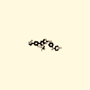 CN(c1ccc(Nc2ncc3cc(-c4ccc(-c5ccnn5C)cc4F)c(=O)n(CC(F)(F)F)c3n2)cc1)C1CCNCC1